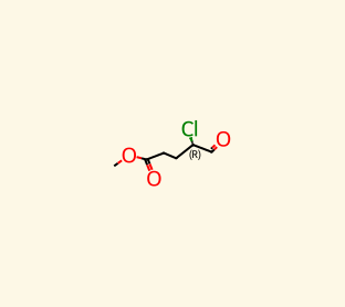 COC(=O)CC[C@@H](Cl)C=O